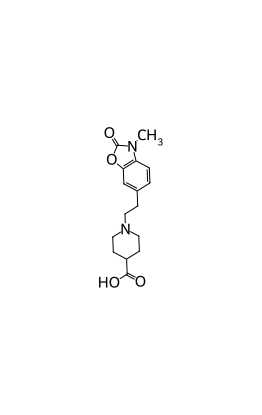 Cn1c(=O)oc2cc(CCN3CCC(C(=O)O)CC3)ccc21